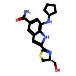 NC(=O)c1cc(NC2CCCC2)c2[nH]c(C3=N[C@H](CO)CS3)cc2c1